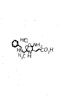 C[C@H](NCc1ccccc1)C(=O)N[C@H](CCC(=O)O)C(N)=O.Cl